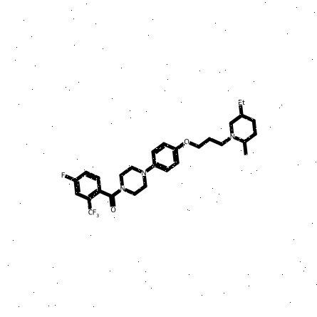 CCC1CCC(C)N(CCCOc2ccc(N3CCN(C(=O)c4ccc(F)cc4C(F)(F)F)CC3)cc2)C1